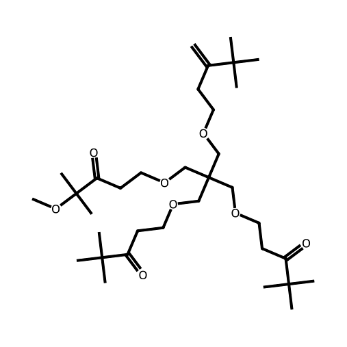 C=C(CCOCC(COCCC(=O)C(C)(C)C)(COCCC(=O)C(C)(C)C)COCCC(=O)C(C)(C)OC)C(C)(C)C